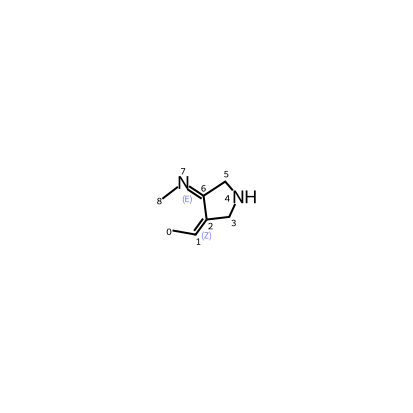 C/C=C1/CNC/C1=N/C